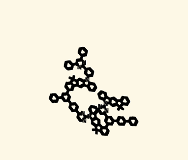 CC1(C)c2ccc(-c3cc(-c4ccccc4)cc(-c4ccc(-c5ccnc(-n6c7ccccc7c7cc8c(cc76)C(C)(C)c6cccc(-c7cc(-c9ccc(-c%10ccccc%10)cc9)cc(-c9ccnc(-n%10c%11ccccc%11c%11cc%12c(cc%11%10)C(C)(C)c%10ccccc%10-%12)n9)c7)c6-8)n5)cc4)c3)cc2-c2cc3c4ccccc4n(-c4cccc(-c5nc(-c6ccccc6)cc(-c6ccccc6)n5)c4)c3cc21